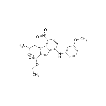 CCOC(=O)c1cc2c(Nc3cccc(OC)c3)ccc([N+](=O)[O-])c2n1CC(C)C